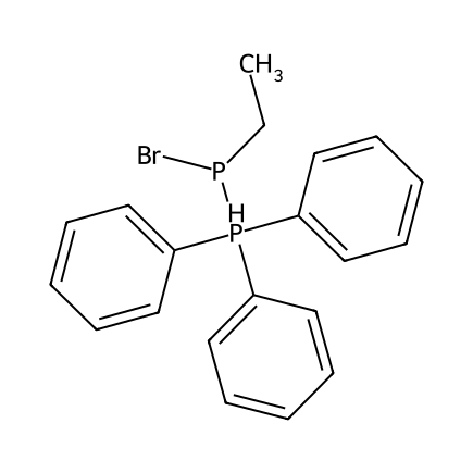 CCP(Br)[PH](c1ccccc1)(c1ccccc1)c1ccccc1